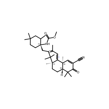 COC(=O)N[C@]1(CCC(C)(C)[C@]2(C)CC[C@H]3C(C)(C)C(=O)C(C#N)=C[C@]3(C)/C2=C/C(C)=O)CCC(C)(C)CC1C